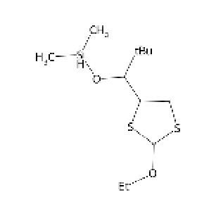 CCOC1SCC(C(O[SiH](C)C)C(C)(C)C)S1